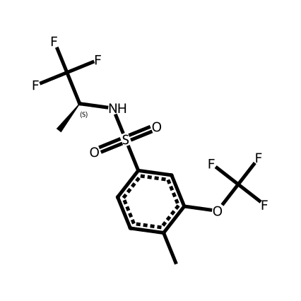 Cc1ccc(S(=O)(=O)N[C@@H](C)C(F)(F)F)cc1OC(F)(F)F